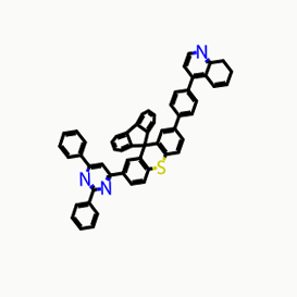 C1=Cc2c(-c3ccc(-c4ccc5c(c4)C4(c6cc(-c7cc(-c8ccccc8)nc(-c8ccccc8)n7)ccc6S5)c5ccccc5-c5ccccc54)cc3)ccnc2CC1